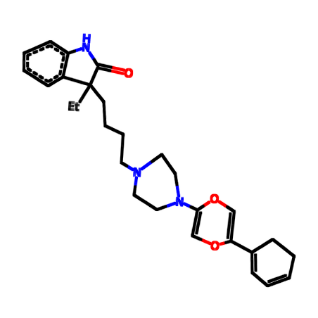 CCC1(CCCCN2CCN(C3=COC(C4=CC=CCC4)=CO3)CC2)C(=O)Nc2ccccc21